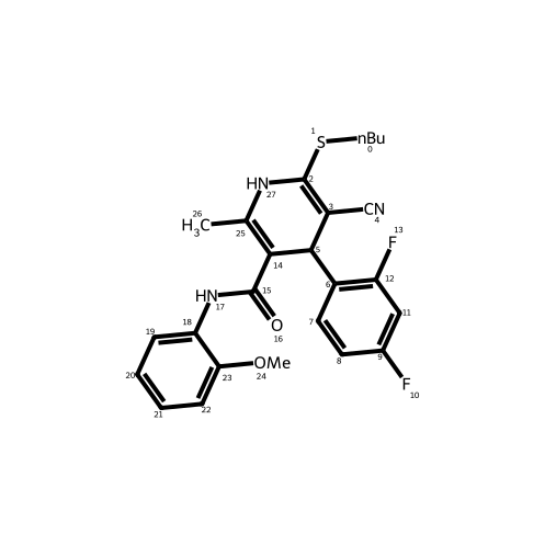 CCCCSC1=C(C#N)C(c2ccc(F)cc2F)C(C(=O)Nc2ccccc2OC)=C(C)N1